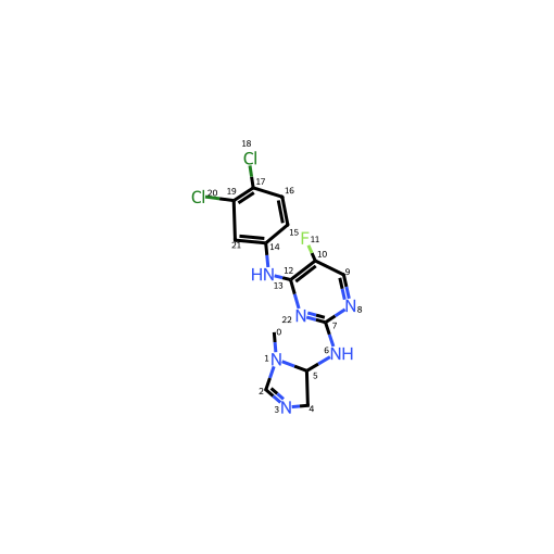 CN1C=NCC1Nc1ncc(F)c(Nc2ccc(Cl)c(Cl)c2)n1